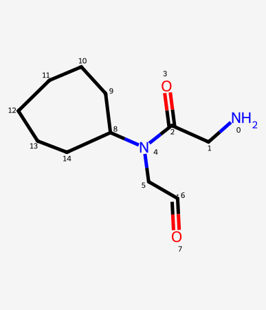 NCC(=O)N(C[C]=O)C1CCCCCC1